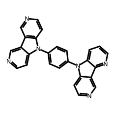 c1cnc2c3cnccc3n(-c3ccc(-n4c5ccncc5c5cnccc54)cc3)c2c1